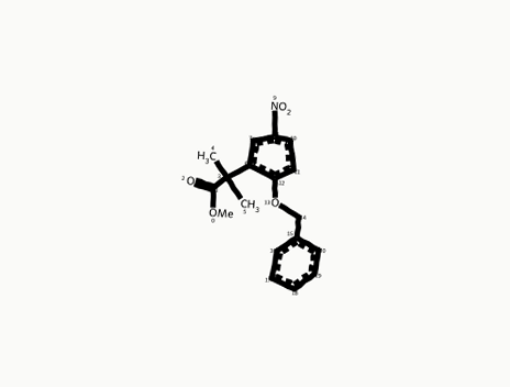 COC(=O)C(C)(C)c1cc([N+](=O)[O-])ccc1OCc1ccccc1